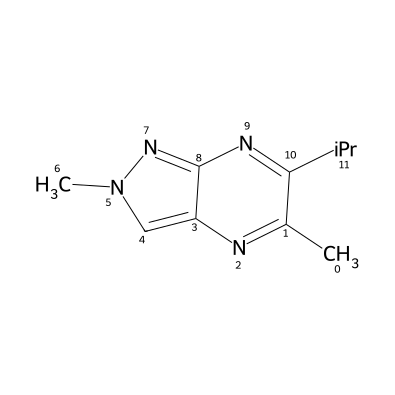 Cc1nc2cn(C)nc2nc1C(C)C